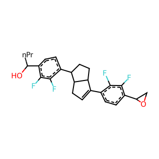 CCCC(O)c1ccc(C2CCC3C(c4ccc(C5CO5)c(F)c4F)=CCC32)c(F)c1F